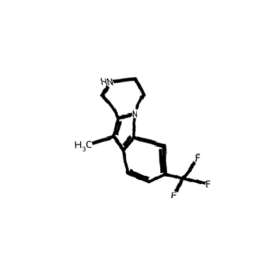 Cc1c2n(c3cc(C(F)(F)F)ccc13)CCNC2